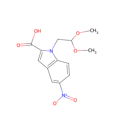 COC(Cn1c(C(=O)O)cc2cc([N+](=O)[O-])ccc21)OC